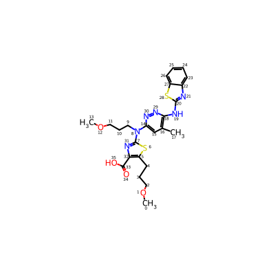 COCCCc1sc(N(CCCOC)c2cc(C)c(Nc3nc4ccccc4s3)nn2)nc1C(=O)O